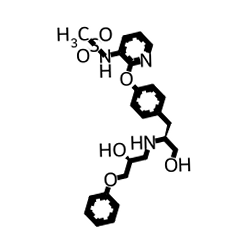 CS(=O)(=O)Nc1cccnc1Oc1ccc(C[C@@H](CO)NC[C@H](O)COc2ccccc2)cc1